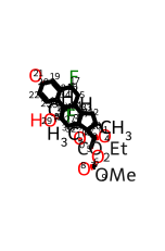 CCOC(=O)O[C@]1(C(=O)COC(=O)OC)[C@H](C)C[C@H]2[C@@H]3C[C@H](F)C4=CC(=O)C=C[C@]4(C)[C@@]3(F)[C@@H](O)C[C@@]21C